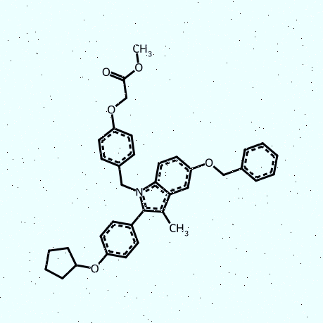 COC(=O)COc1ccc(Cn2c(-c3ccc(OC4CCCC4)cc3)c(C)c3cc(OCc4ccccc4)ccc32)cc1